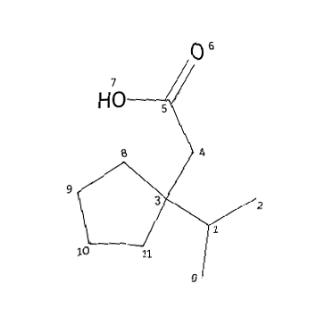 CC(C)C1(CC(=O)O)CCCC1